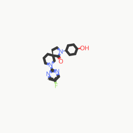 O=C1N([C@H]2CC[C@H](O)CC2)CC[C@@]12CCCN(c1n[c]c(F)cn1)C2